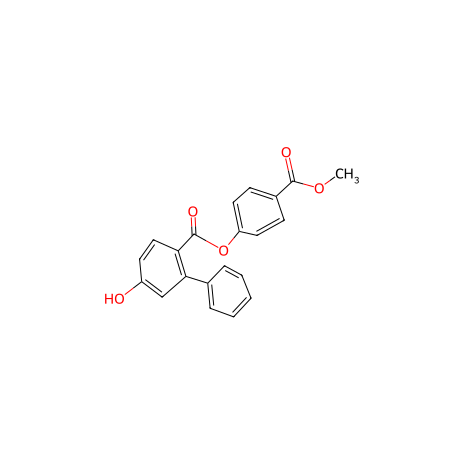 COC(=O)c1ccc(OC(=O)c2ccc(O)cc2-c2ccccc2)cc1